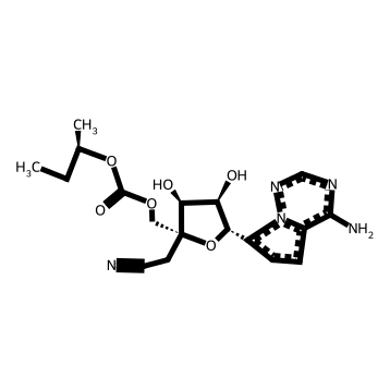 CC[C@@H](C)OC(=O)OC[C@@]1(CC#N)O[C@@H](c2ccc3c(N)ncnn23)[C@H](O)[C@@H]1O